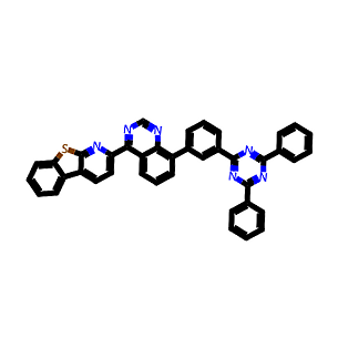 c1ccc(-c2nc(-c3ccccc3)nc(-c3cccc(-c4cccc5c(-c6ccc7c(n6)sc6ccccc67)ncnc45)c3)n2)cc1